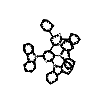 c1ccc(-c2cc(-c3cc(-n4c5ccccc5c5ccccc54)nc(-n4c5ccccc5c5ccccc54)c3-n3c4ccccc4c4ccccc43)nc(-c3ccccc3)n2)cc1